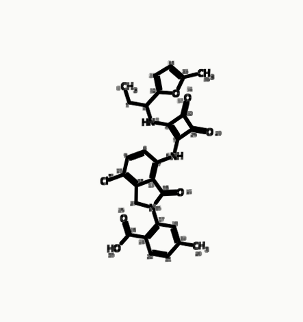 CCC(Nc1c(Nc2ccc(Cl)c3c2C(=O)N(c2cc(C)ccc2C(=O)O)C3)c(=O)c1=O)c1ccc(C)o1